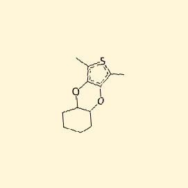 Cc1sc(C)c2c1OC1CCCCC1O2